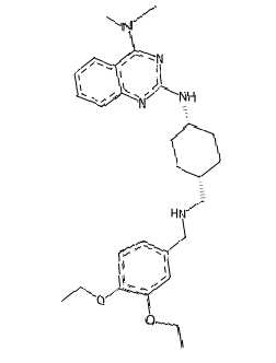 CCOc1ccc(CNC[C@H]2CC[C@@H](Nc3nc(N(C)C)c4ccccc4n3)CC2)cc1OCC